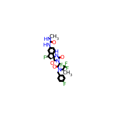 CNC(=O)Nc1ccc2c(c1)[C@H](F)C[C@]21NC(=O)N(CC(=O)N(Cc2ccc(F)cc2)[C@@H](C)C(F)(F)F)C1=O